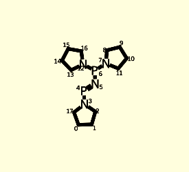 C1CCN(P=NP(N2CCCC2)N2CCCC2)C1